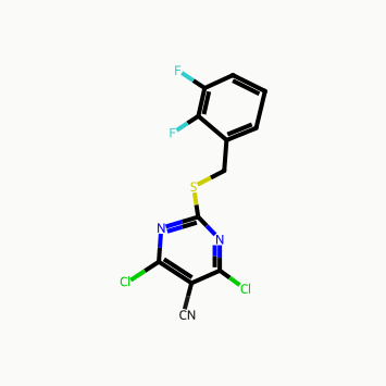 N#Cc1c(Cl)nc(SCc2cccc(F)c2F)nc1Cl